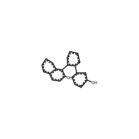 Oc1cccc(-c2ccccc2-c2c(O)ccc3ccccc23)c1